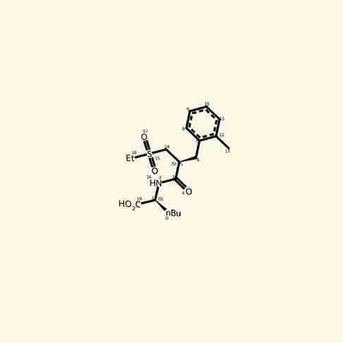 CCCC[C@H](NC(=O)[C@H](Cc1ccccc1C)CS(=O)(=O)CC)C(=O)O